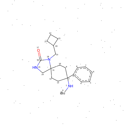 CCC(C)NC1(c2ccccc2)CCC2(CC1)CNC(=O)N2CC1CCC1